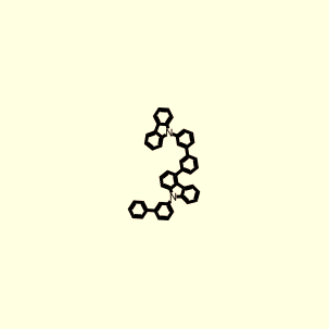 c1ccc(-c2cccc(-n3c4ccccc4c4c(-c5cccc(-c6cccc(-n7c8ccccc8c8ccccc87)c6)c5)cccc43)c2)cc1